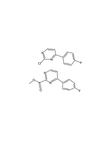 COC(=O)c1nccc(-c2ccc(F)cc2)n1.Fc1ccc(-c2ccnc(Cl)n2)cc1